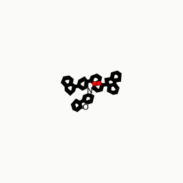 c1ccc(-c2ccc(-c3cccc4ccccc34)cc2N(c2ccc(-c3cc4ccccc4c4ccccc34)cc2)c2ccc3oc4ccccc4c3c2)cc1